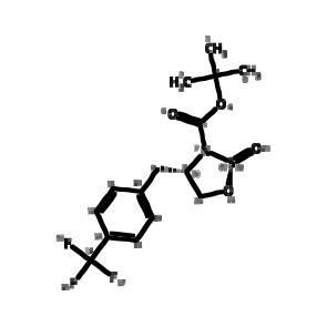 CC(C)(C)OC(=O)N1[C@@H](Cc2ccc(C(F)(F)F)cc2)CO[S@@]1=O